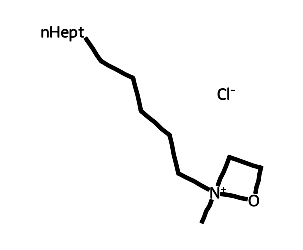 CCCCCCCCCCCC[N+]1(C)CCO1.[Cl-]